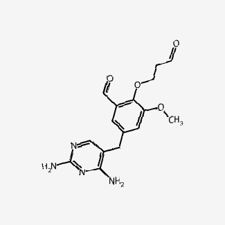 COc1cc(Cc2cnc(N)nc2N)cc(C=O)c1OCCC=O